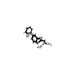 CN(C)Cc1nc2cc([C@@H]3CCCCN3)ccc2s1